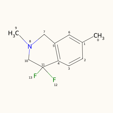 Cc1ccc2c(c1)CN(C)CC2(F)F